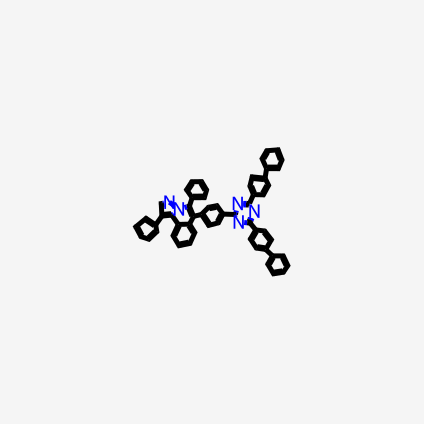 c1ccc(-c2ccc(-c3nc(-c4ccc(-c5ccccc5)cc4)nc(-c4ccc(-c5c(-c6ccccc6)n6ncc(-c7ccccc7)c6c6ccccc56)cc4)n3)cc2)cc1